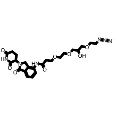 [N-]=[N+]=NCCOCC(O)COCCOCCC(=O)Nc1cccc2c1CN(C1CCC(=O)NC1=O)C2=O